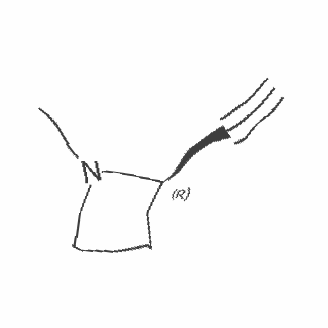 C#C[C@H]1CCN1C